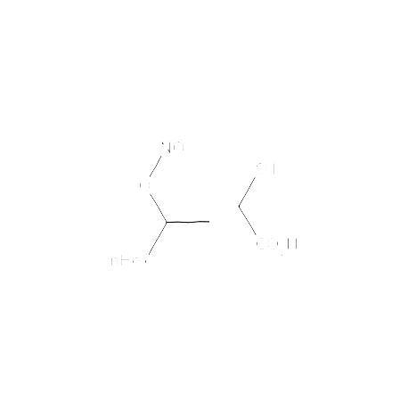 CCCCCCC(C)ON=O.O=C(O)CS